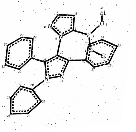 CCOP(OCC)c1ccnn1-c1c(-c2ccccc2)nn(-c2ccccc2)c1-c1ccccc1